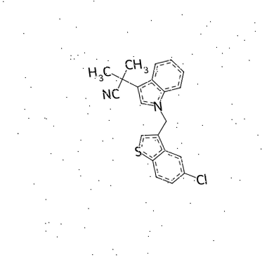 CC(C)(C#N)c1cn(Cc2csc3ccc(Cl)cc23)c2ccccc12